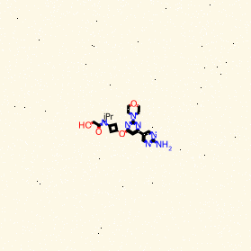 CC(C)N(C(=O)CO)[C@H]1C[C@H](Oc2cc(-c3cnc(N)nc3)nc(N3CCOCC3)n2)C1